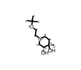 CC(C)(C)OCCN1CC[C@](C)(O)[C@H](O)C1